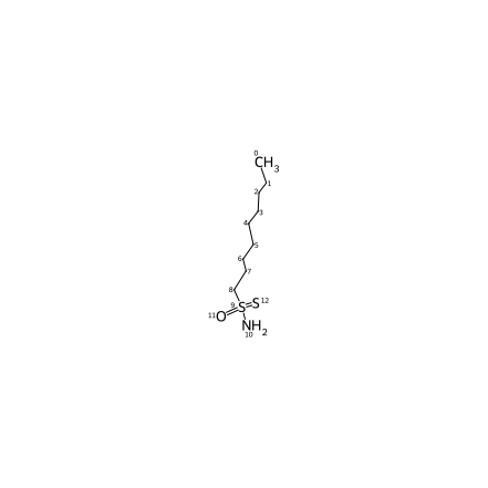 CCCCCCCCCS(N)(=O)=S